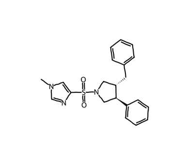 Cn1cnc(S(=O)(=O)N2C[C@H](Cc3ccccc3)[C@@H](c3ccccc3)C2)c1